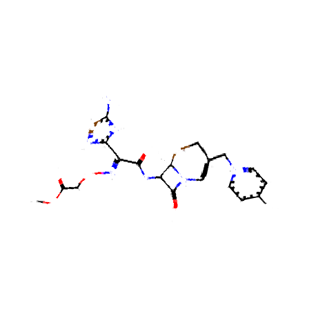 CC(C)(C)OC(=O)CON=C(C(=O)NC1C(=O)N2C=C(C[n+]3ccc(C(=O)[O-])cc3)CS[C@H]12)c1nsc(N)n1